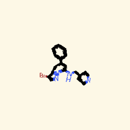 Brc1cnn2c(NCc3ccncc3)cc(-c3ccccc3)cc12